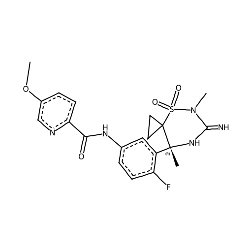 COc1ccc(C(=O)Nc2ccc(F)c([C@@]3(C)NC(=N)N(C)S(=O)(=O)C34CC4)c2)nc1